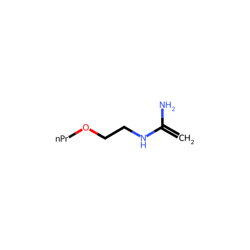 C=C(N)NCCOCCC